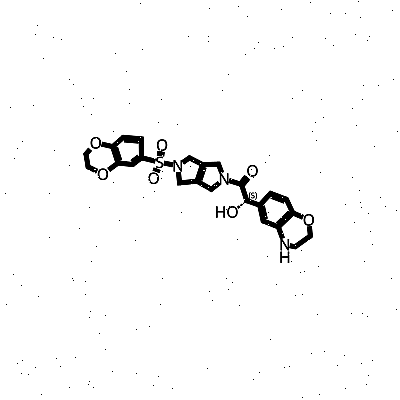 O=C([C@@H](O)c1ccc2c(c1)NCCO2)N1CC2=C(C1)CN(S(=O)(=O)c1ccc3c(c1)OCCO3)C2